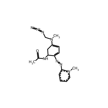 CC(=O)NC1CC(N(C)CN=[N+]=[N-])=CC=C1/N=N/c1cccc[n+]1C